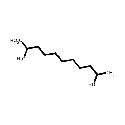 CC(O)CCCCCCCC(C)C(=O)O